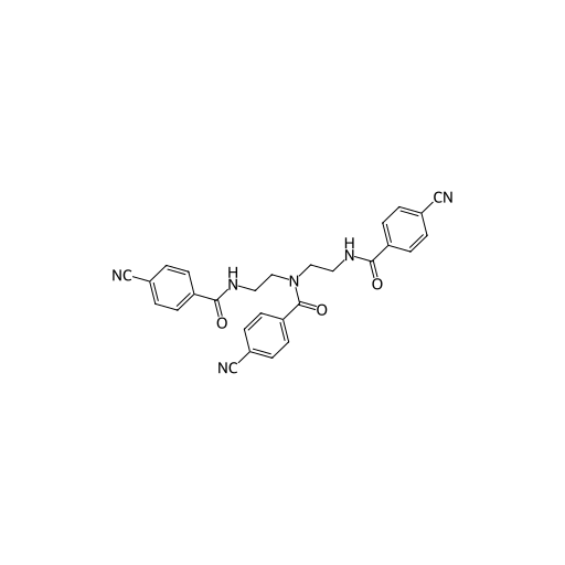 N#Cc1ccc(C(=O)NCCN(CCNC(=O)c2ccc(C#N)cc2)C(=O)c2ccc(C#N)cc2)cc1